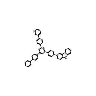 c1ccc(-c2ccc(-c3cc(-c4ccc(-c5ccc6oc7ccccc7c6c5)cc4)nc(-c4ccc(-c5cccnc5)cc4)n3)cc2)cc1